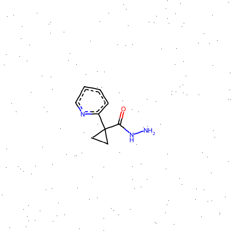 NNC(=O)C1(c2ccccn2)CC1